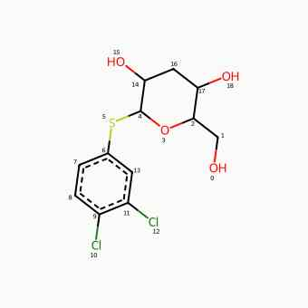 OCC1OC(Sc2ccc(Cl)c(Cl)c2)C(O)CC1O